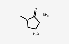 CN1CCCC1=O.N.O